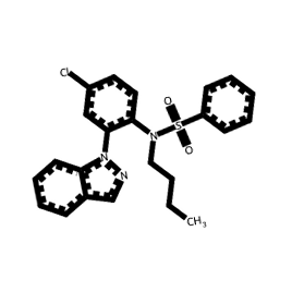 CCCCN(c1ccc(Cl)cc1-n1ncc2ccccc21)S(=O)(=O)c1ccccc1